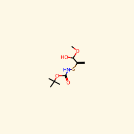 C=C(SNC(=O)OC(C)(C)C)C(O)OC